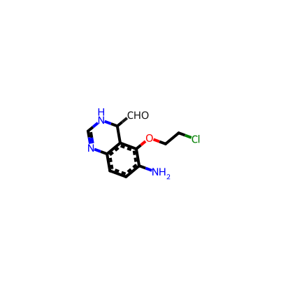 Nc1ccc2c(c1OCCCl)C(C=O)NC=N2